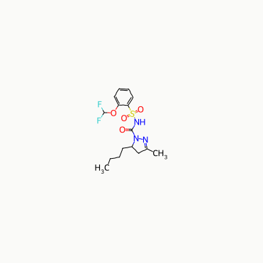 CCCCC1CC(C)=NN1C(=O)NS(=O)(=O)c1ccccc1OC(F)F